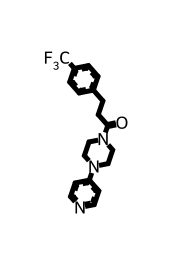 O=C(CCc1ccc(C(F)(F)F)cc1)N1CCN(c2ccncc2)CC1